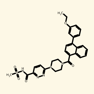 CCOc1cccc(-c2ccc(C(=O)N3CCN(c4ccc(C(=O)NS(C)(=O)=O)nn4)CC3)c3ccccc23)c1